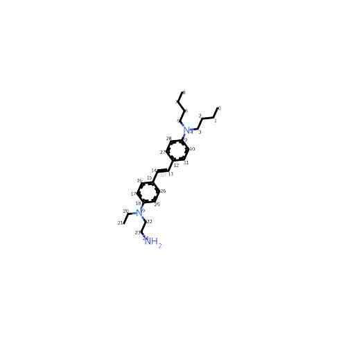 CCCCN(CCCC)c1ccc(/C=C/c2ccc(N(CC)CCN)cc2)cc1